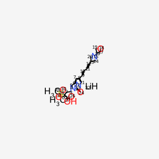 CC(CCN1Cc2cc(C#CC#CC3CN(C4COC4)C3)cn2C1=O)(C(=O)O)S(C)(=O)=O.[LiH]